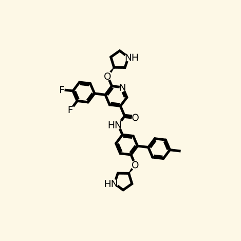 Cc1ccc(-c2cc(NC(=O)c3cnc(O[C@H]4CCNC4)c(-c4ccc(F)c(F)c4)c3)ccc2O[C@H]2CCNC2)cc1